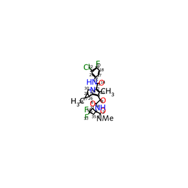 CNC(=O)C1(NC(=O)C(=O)c2c(C)c(C(=O)Nc3ccc(F)c(Cl)c3)n3c2C2C(C)C2C3)CC(F)(F)C1